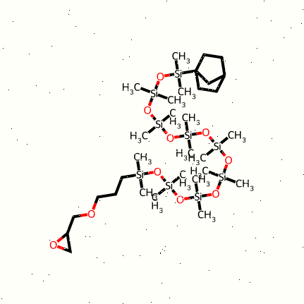 C[Si](C)(CCCOCC1CO1)O[Si](C)(C)O[Si](C)(C)O[Si](C)(C)O[Si](C)(C)O[Si](C)(C)O[Si](C)(C)O[Si](C)(C)O[Si](C)(C)C12CCC(CC1)C2